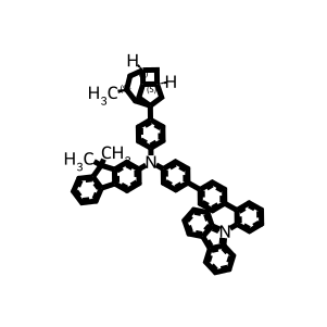 C[C@H]1C[C@H]2C[C@H]3CC(c4ccc(N(c5ccc(-c6ccc(-c7ccccc7-n7c8ccccc8c8ccccc87)cc6)cc5)c5ccc6c(c5)C(C)(C)c5ccccc5-6)cc4)(CC23)C1